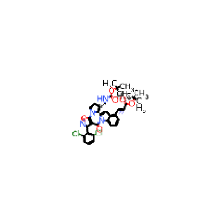 CC(C)(C)OC(=O)/C=C/c1cccc2c1ccn2C(=O)c1c(-c2c(Cl)cccc2Cl)noc1N1CC[C@H](CNC(=O)OC(C)(C)C)C1